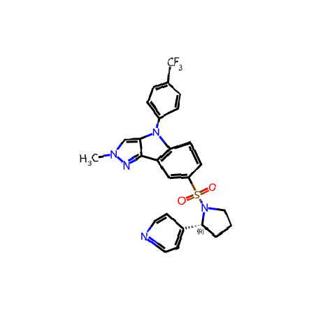 Cn1cc2c(n1)c1cc(S(=O)(=O)N3CCC[C@@H]3c3ccncc3)ccc1n2-c1ccc(C(F)(F)F)cc1